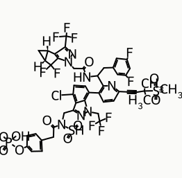 CC(C)(C#Cc1ccc(-c2ccc(Cl)c3c(CN(C(=O)Cc4ccc(OP(=O)(O)O)cc4)[SH](=O)=O)nn(CC(F)(F)F)c23)c(C(Cc2cc(F)cc(F)c2)NC(=O)Cn2nc(C(F)(F)F)c3c2C(F)(F)[C@@H]2C[C@H]32)n1)S(C)(=O)=O